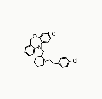 Cl.Clc1ccc(CCN2CCCCC2CN2c3ccccc3COc3ccccc32)cc1